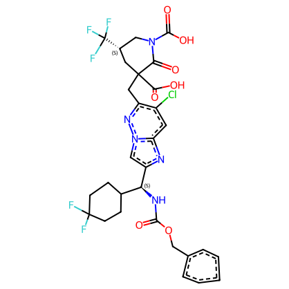 O=C(N[C@H](c1cn2nc(CC3(C(=O)O)C[C@H](C(F)(F)F)CN(C(=O)O)C3=O)c(Cl)cc2n1)C1CCC(F)(F)CC1)OCc1ccccc1